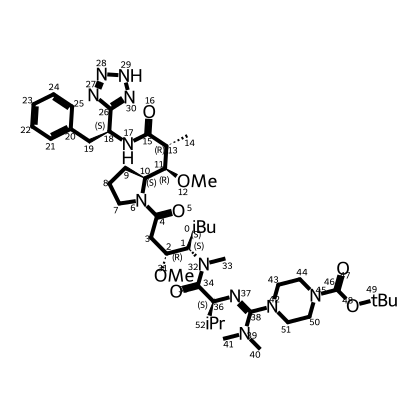 CC[C@H](C)[C@@H]([C@@H](CC(=O)N1CCC[C@H]1[C@H](OC)[C@@H](C)C(=O)N[C@@H](Cc1ccccc1)c1nn[nH]n1)OC)N(C)C(=O)[C@@H](N=C(N(C)C)N1CCN(C(=O)OC(C)(C)C)CC1)C(C)C